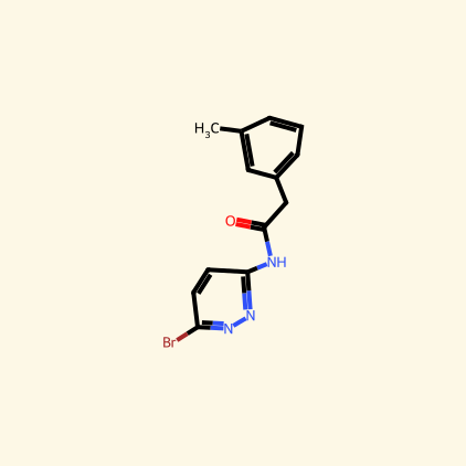 Cc1cccc(CC(=O)Nc2ccc(Br)nn2)c1